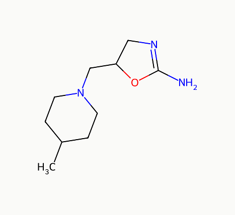 CC1CCN(CC2CN=C(N)O2)CC1